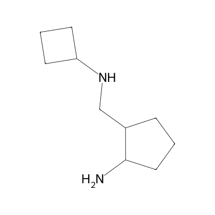 NC1CCCC1CNC1CCC1